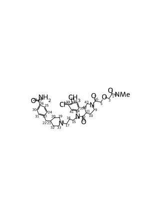 CNC(=O)COCC(=O)N1CCC(C(=O)N(CCCN2CCC(Cc3ccc(C(N)=O)cc3)CC2)c2ccc(C)c(Cl)c2)CC1